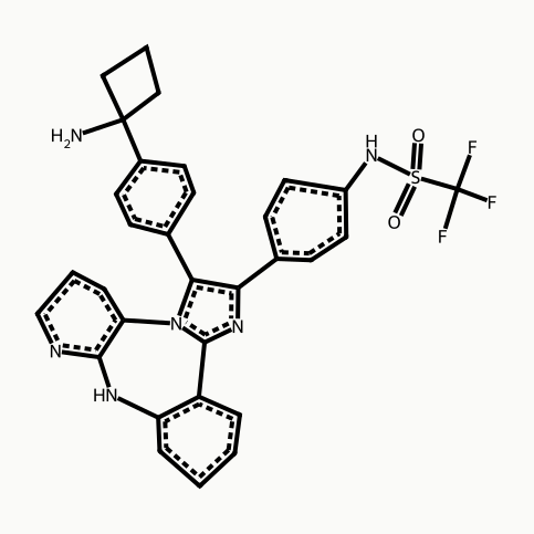 NC1(c2ccc(-c3c(-c4ccc(NS(=O)(=O)C(F)(F)F)cc4)nc4n3-c3cccnc3Nc3ccccc3-4)cc2)CCC1